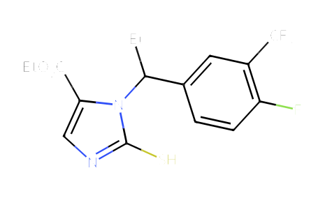 CCOC(=O)c1cnc(S)n1C(CC)c1ccc(F)c(C(F)(F)F)c1